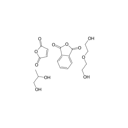 CC(O)CO.O=C1C=CC(=O)O1.O=C1OC(=O)c2ccccc21.OCCOCCO